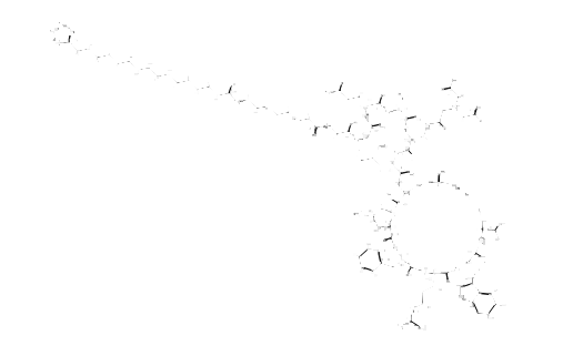 CCCC[C@H](NC(=O)[C@H](CNC(=O)CN(CC(=O)O)CC(=O)O)NC(=O)[C@H](CO)NC(=O)[C@H](CCC(N)=O)NC(=O)[C@H](CO)NC(=O)CNC(=O)COCCOCCNC(=O)CCCCCCCCCCCCCCCc1nnn[nH]1)C(=O)N[C@H]1CCC(=O)CCCCC[C@@H](C(C)=O)NC(=O)[C@H](Cc2c[nH]c3ccccc23)NC(=O)[C@H](CCCNC(=N)N)NC(=O)[C@@H](Cc2ccccc2)NC(=O)[C@@H]2C[C@@H](O)CN2C1=O